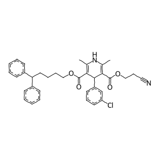 CC1=C(C(=O)OCCC#N)C(c2cccc(Cl)c2)C(C(=O)OCCCCC(c2ccccc2)c2ccccc2)=C(C)N1